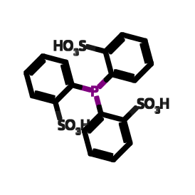 O=S(=O)(O)c1ccccc1P(c1ccccc1S(=O)(=O)O)c1ccccc1S(=O)(=O)O